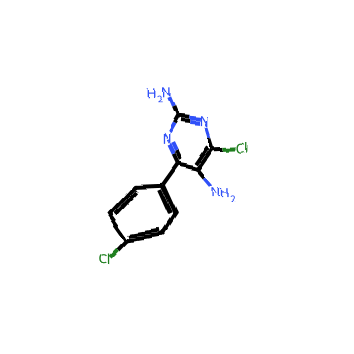 Nc1nc(Cl)c(N)c(-c2ccc(Cl)cc2)n1